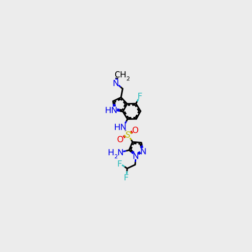 C=NCc1c[nH]c2c(NS(=O)(=O)c3cnn(CC(F)F)c3N)ccc(F)c12